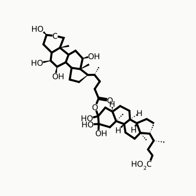 C[C@H](CCC(=O)O)[C@H]1CC[C@H]2[C@@H]3CC[C@@H]4CC(O)(OC(=O)CC[C@@H](C)[C@H]5CCC6C7C(C[C@@H](O)[C@@]65C)[C@@]5(C)CC[C@H](O)CC5[C@H](O)[C@@H]7O)C(O)(O)C[C@]4(C)[C@H]3CC[C@]12C